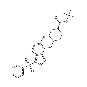 CC(C)(C)OC(=O)N1CCN(Cc2c(O)ccc3c2ccn3S(=O)(=O)c2ccccc2)CC1